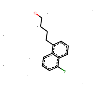 [O]CCCCc1cccc2c(F)cccc12